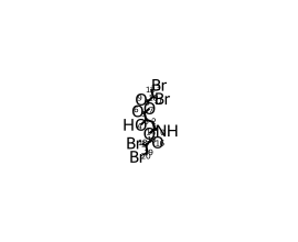 N=C(CC(O)C(=O)OC(=O)C(Br)CBr)OC(=O)C(Br)CBr